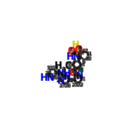 Cc1cc(C2(N[SH](=O)=O)CCCCC2)cc(F)c1Oc1ncccc1-c1ccnc(N[C@H]2CCCNC2)n1